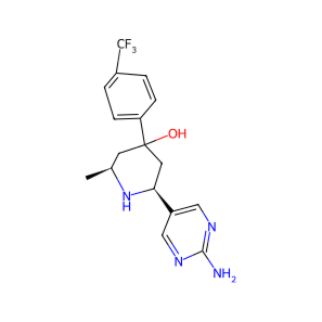 C[C@H]1CC(O)(c2ccc(C(F)(F)F)cc2)C[C@@H](c2cnc(N)nc2)N1